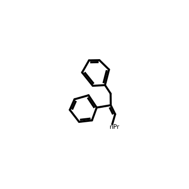 CCCC=C(Cc1ccccc1)c1ccccc1